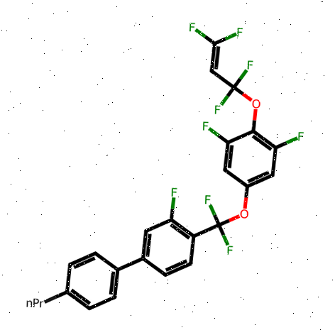 CCCc1ccc(-c2ccc(C(F)(F)Oc3cc(F)c(OC(F)(F)C=C(F)F)c(F)c3)c(F)c2)cc1